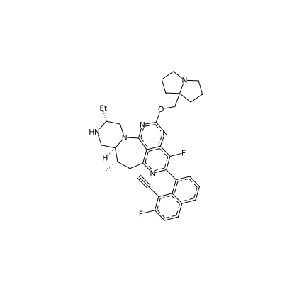 C#Cc1c(F)ccc2cccc(-c3nc4c5c(nc(OCC67CCCN6CCC7)nc5c3F)N3C[C@@H](CC)NC[C@@H]3[C@@H](C)C4)c12